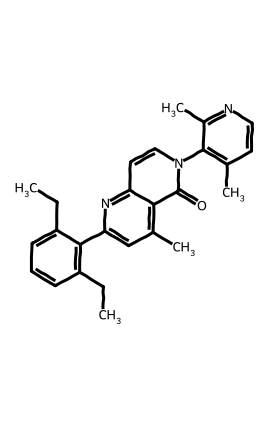 CCc1cccc(CC)c1-c1cc(C)c2c(=O)n(-c3c(C)ccnc3C)ccc2n1